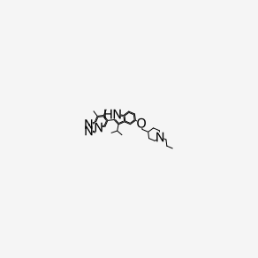 CCCN1CCC(COc2ccc3[nH]c(-c4cn5cnnc5c(C)c4C)c(C(C)C)c3c2)CC1